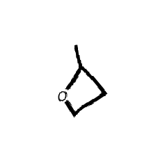 CC1CCO1